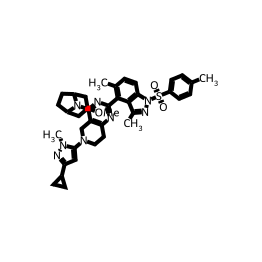 COC1CC2CCC(C1)N2c1nc(-c2c(C)ccc3c2c(C)nn3S(=O)(=O)c2ccc(C)cc2)nc2c1CN(c1cc(C3CC3)nn1C)CC2